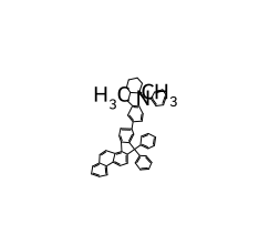 CC12CCCCC1(C)N(c1ccccc1)c1ccc(-c3ccc4c(c3)C(c3ccccc3)(c3ccccc3)c3ccc5c(ccc6ccccc65)c3-4)cc1C2